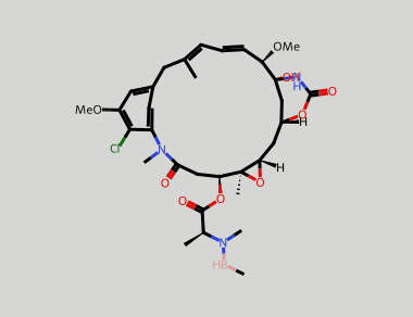 CBN(C)[C@@H](C)C(=O)O[C@H]1CC(=O)N(C)c2cc(cc(OC)c2Cl)C/C(C)=C/C=C/[C@@H](OC)[C@@]2(O)C[C@@H](C[C@@H]3O[C@@]13C)OC(=O)N2